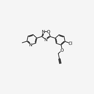 C#CCOc1cc(-c2nc(-c3ccc(C)nc3)no2)ccc1Cl